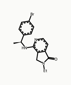 CCN1Cc2c(ccnc2N[C@@H](C)c2ccc(Br)cc2)C1=O